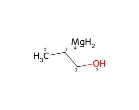 CCCO.[MgH2]